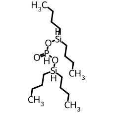 CCCC[SiH](CCCC)O[PH](=O)O[SiH](CCCC)CCCC